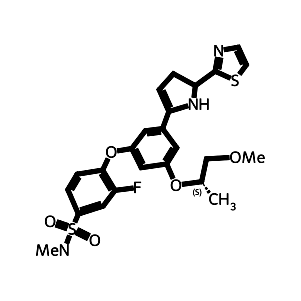 CNS(=O)(=O)c1ccc(Oc2cc(O[C@@H](C)COC)cc(C3=CCC(c4nccs4)N3)c2)c(F)c1